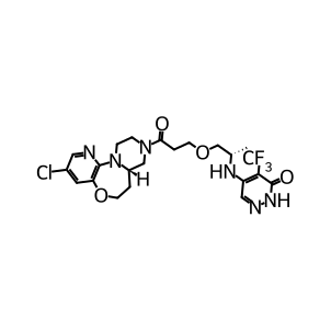 C[C@@H](COCCC(=O)N1CCN2c3ncc(Cl)cc3OCC[C@H]2C1)Nc1cn[nH]c(=O)c1C(F)(F)F